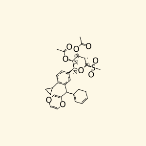 CC(=O)O[C@H]1[C@H](OC(C)=O)[CH][C@@H](S(C)(=O)=O)O[C@H]1c1ccc(C2CC2)c(C(C2=CC=CCC2)C2=COC=CO2)c1